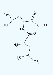 COC(=O)C(CC(C)C)NC(=O)C(N)CC(C)C